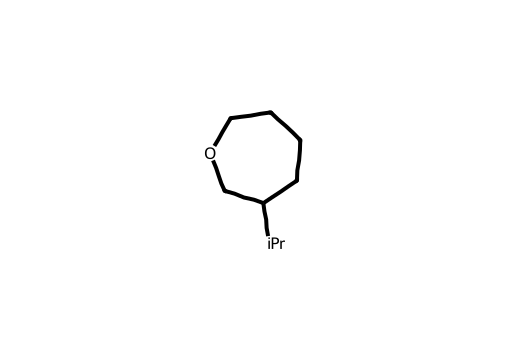 CC(C)C1CCCCOC1